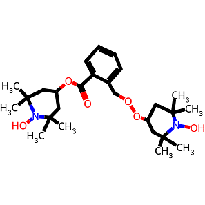 CC1(C)CC(OOCc2ccccc2C(=O)OC2CC(C)(C)N(O)C(C)(C)C2)CC(C)(C)N1O